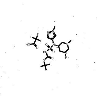 CN1C[C@@H](F)C[C@@H](N(c2cnn(C)c2)S(=O)(=O)NC(=O)OC(C)(C)C)C1.O=C(O)C(F)(F)F